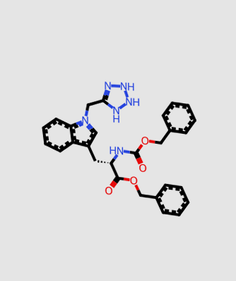 O=C(N[C@@H](Cc1cn(CC2=NNNN2)c2ccccc12)C(=O)OCc1ccccc1)OCc1ccccc1